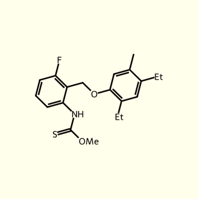 CCc1cc(CC)c(OCc2c(F)cccc2NC(=S)OC)cc1C